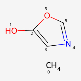 C.Oc1cnco1